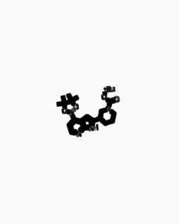 CC(C)(C)OC(=O)N1CCCC(c2cc3c(B4OC(C)(C)C(C)(C)O4)ccnc3[nH]2)C1